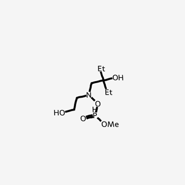 CCC(O)(CC)CN(CCO)O[PH](=O)OC